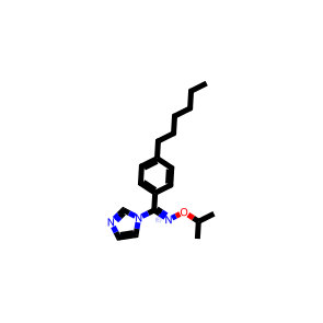 CCCCCCc1ccc(/C(=N\OC(C)C)n2ccnc2)cc1